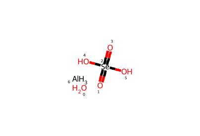 O.O=[Se](=O)(O)O.[AlH3]